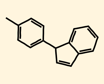 Cc1ccc([C]2C=Cc3ccccc32)cc1